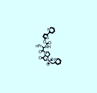 CCCC(NC(=O)Oc1ccc(-c2ccccn2)s1)C(=O)N1CCC2C1C(=O)CN2S(=O)(=O)Cc1ccccn1